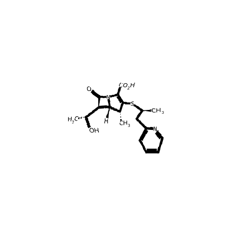 C[C@@H](Cc1ccccn1)SC1=C(C(=O)O)N2C(=O)[C@H]([C@@H](C)O)[C@H]2[C@H]1C